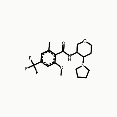 COc1cc(C(F)(F)F)cc(C)c1C(=O)NC1COCCC1N1CCCC1